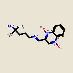 CC(C)(N)CCCN=Cc1c[n+]([O-])c2ccccc2[n+]1[O-]